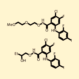 CCC(O)CONC(=O)c1cc(Cl)c(F)cc1Nc1ccc(I)cc1F.COCCOCCONC(=O)c1cc(Cl)c(F)cc1Nc1ccc(I)cc1F